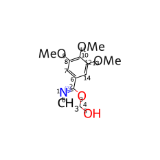 C/N=C(\OCO)c1cc(OC)c(OC)c(OC)c1